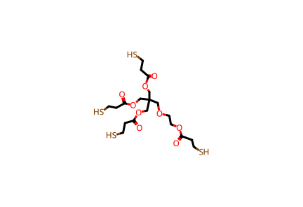 O=C(CCS)OCCOCC(COC(=O)CCS)(COC(=O)CCS)COC(=O)CCS